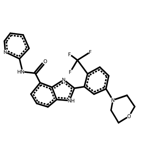 O=C(Nc1ccccn1)c1cccc2[nH]c(-c3cc(N4CCOCC4)ccc3C(F)(F)F)nc12